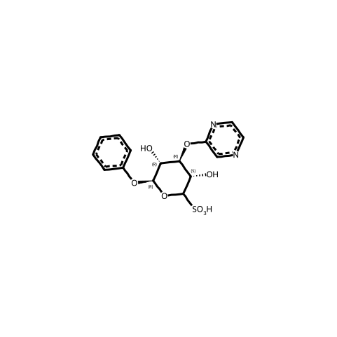 O=S(=O)(O)C1O[C@@H](Oc2ccccc2)[C@H](O)[C@@H](Oc2cnccn2)[C@@H]1O